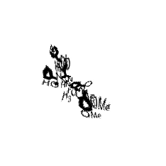 COc1ccc(CN2C(=O)c3ccc(Nc4ncc(-c5nc(C67CCN(CC6)CC7)no5)c(N[C@H](CO)c5ccccc5)n4)c(F)c3C2(C)C)c(OC)c1